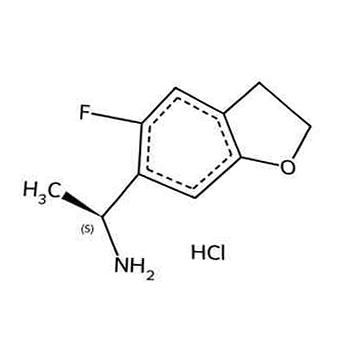 C[C@H](N)c1cc2c(cc1F)CCO2.Cl